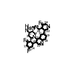 NC1CCN(c2c(-c3cc(F)cc(F)c3)cnc3ccc(-c4cncc(F)c4C=NO)cc23)CC1